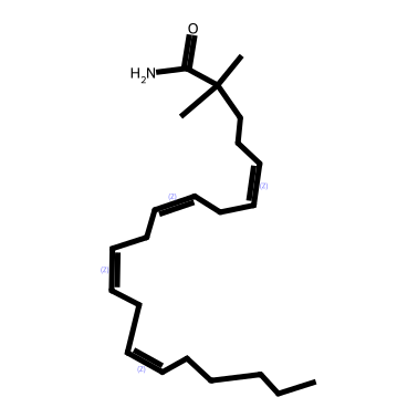 CCCCC/C=C\C/C=C\C/C=C\C/C=C\CCC(C)(C)C(N)=O